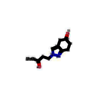 COC(=O)CCn1cc2c(n1)CCC(=O)C2